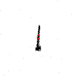 CCCCCCCCCCCCCCCCCCCC=CCCC(P(=O)=O)[N+](C)(C)C